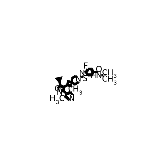 Cc1cncc(C)c1-c1noc(C2CC2)c1C1=CC2(CCN(c3nc4c(F)cc(C(=O)NC(C)C)cc4s3)CC2)C1